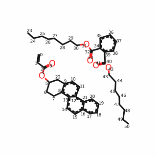 C=CC(=O)OC1CCc2c(ccc3c2ccc2ccccc23)C1.CCCCCCCCOC(=O)c1ccccc1C(=O)OCCCCCCCC